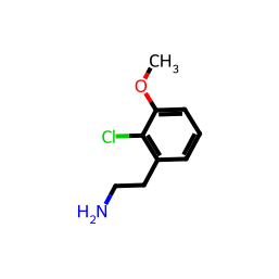 COc1cccc(CCN)c1Cl